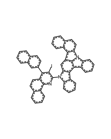 Ic1c(-n2c3ccccc3c3c4c5ccccc5n5c6ccc7ccccc7c6c(cc32)c45)nc2c(ccc3ccccc32)c1-c1ccc2ccccc2c1